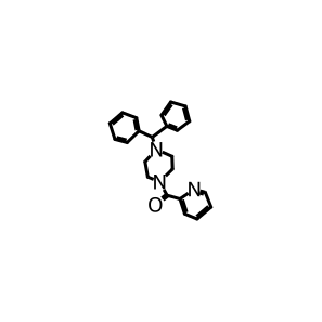 O=C(c1ccccn1)N1CCN(C(c2ccccc2)c2ccccc2)CC1